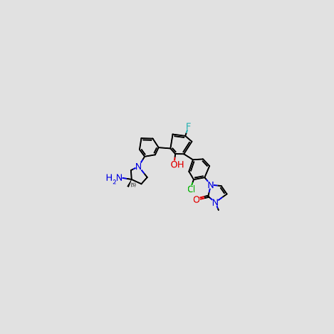 Cn1ccn(-c2ccc(-c3cc(F)cc(-c4cccc(N5CC[C@](C)(N)C5)c4)c3O)cc2Cl)c1=O